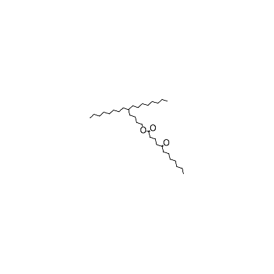 CCCCCCCCC(CCCCCCCC)CCCCOC(=O)CCCC(=O)CCCCCCC